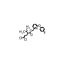 CC(C)C(CC=C(Cl)Cl)C(=O)OCc1cccc(Oc2ccc(F)cc2)n1